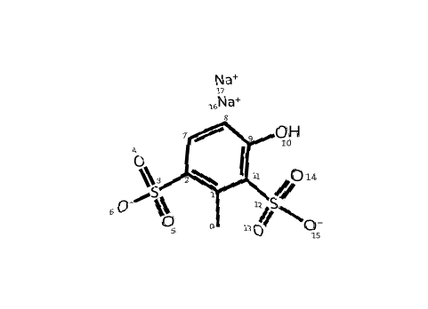 Cc1c(S(=O)(=O)[O-])ccc(O)c1S(=O)(=O)[O-].[Na+].[Na+]